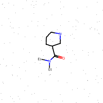 CCN(CC)C(=O)C1CCC[N]C1